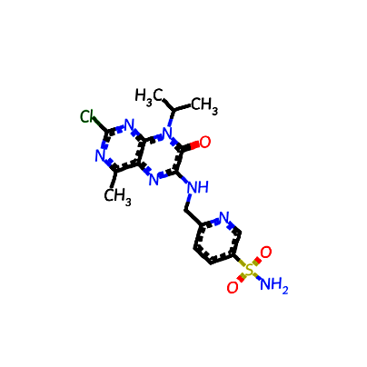 Cc1nc(Cl)nc2c1nc(NCc1ccc(S(N)(=O)=O)cn1)c(=O)n2C(C)C